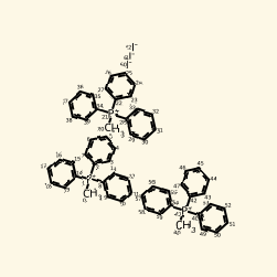 C[P+](c1ccccc1)(c1ccccc1)c1ccccc1.C[P+](c1ccccc1)(c1ccccc1)c1ccccc1.C[P+](c1ccccc1)(c1ccccc1)c1ccccc1.[I-].[I-].[I-]